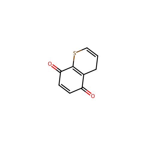 O=C1C=CC(=O)C2=C1CC=CS2